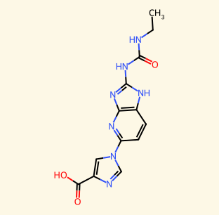 CCNC(=O)Nc1nc2nc(-n3cnc(C(=O)O)c3)ccc2[nH]1